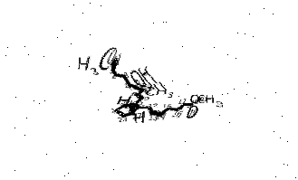 CCCCCC(C)(O)C=CC1C(C/C=C\CCCC(=O)OC)[C@H]2C=C[C@H]1C2